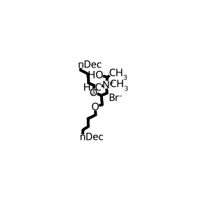 CCCCCCCCCCCCCCOCC(C[N+](C)(C)C(C)O)OCCCCCCCCCCCCCC.[Br-]